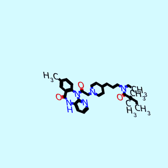 CCN(CCCC1CCN(CC(=O)N2c3ccc(C)cc3C(=O)Nc3cccnc32)CC1)C(=O)C(C)(C)CC